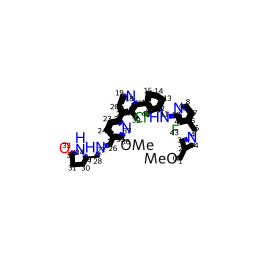 COCC1CN(Cc2ccnc(Nc3cccc(-c4nccc(-c5ccc(CNC[C@H]6CCC(=O)N6)c(OC)n5)c4C)c3Cl)c2F)C1